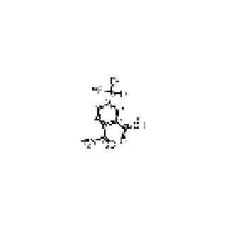 NC(=O)c1ccc(C(F)(F)F)cc1C(=O)O